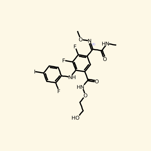 CNC(=O)/C(=N/OC)c1cc(C(=O)NOCCO)c(Nc2ccc(I)cc2F)c(F)c1F